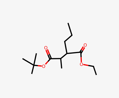 CCCC(C(=O)OCC)C(C)C(=O)OC(C)(C)C